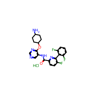 Cl.NC1CCC(Oc2ncncc2NC(=O)c2ccc(F)c(-c3c(F)cccc3F)n2)CC1